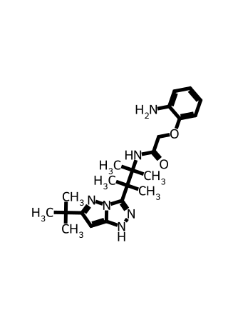 CC(C)(C)c1cc2[nH]nc(C(C)(C)C(C)(C)NC(=O)COc3ccccc3N)n2n1